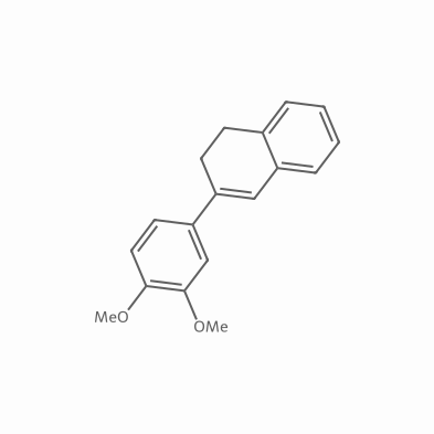 COc1ccc(C2=Cc3ccccc3CC2)cc1OC